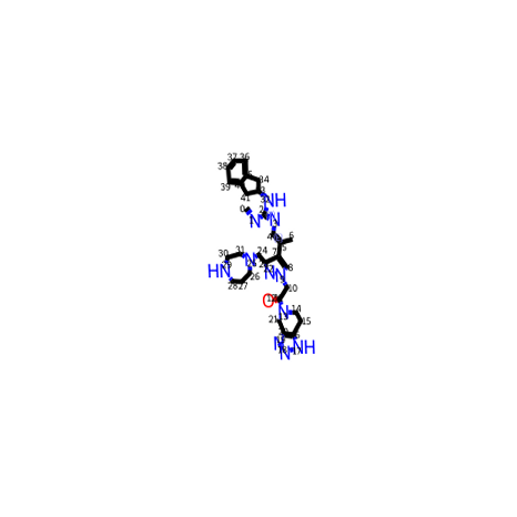 C=N/C(=N\C=C(/C)c1cn(CC(=O)N2CCc3[nH]nnc3C2)nc1CN1CCCNCC1)NC1Cc2ccccc2C1